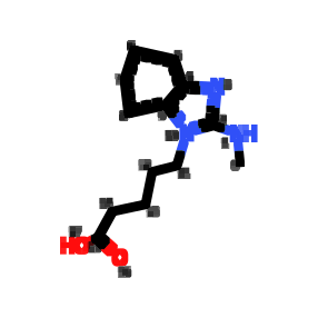 CNc1nc2ccccc2n1CCCCC(=O)O